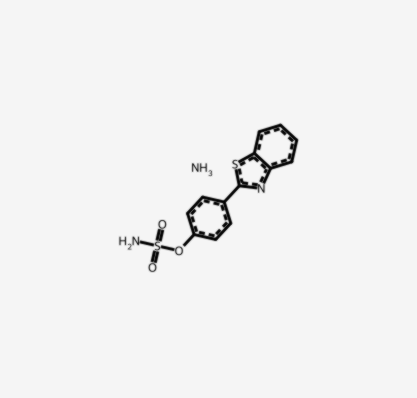 N.NS(=O)(=O)Oc1ccc(-c2nc3ccccc3s2)cc1